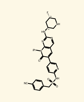 CC(C)n1c(=O)c(-c2ccc(NS(=O)(=O)Cc3ccc(C#N)cc3)nc2)cc2cnc(N[C@@H]3CNC[C@@H](F)C3)nc21